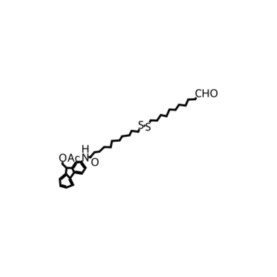 CC(=O)OCC1c2ccccc2-c2ccc(NC(=O)CCCCCCCCCCSSCCCCCCCCCCC=O)cc21